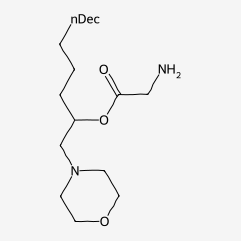 CCCCCCCCCCCCCC(CN1CCOCC1)OC(=O)CN